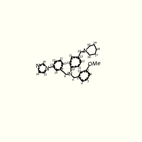 COc1cccc(CN(Cc2cccc(-n3ccnc3)c2)c2ccc(CN3CCCCC3)cc2)c1